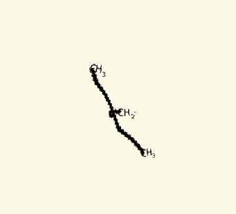 [CH2]CCCc1c(CCCCCCCCCCCCCCCCCCCCCCC)cccc1CCCCCCCCCCCCCCCCCCCCCCC